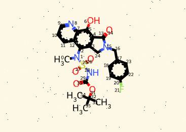 CN(c1c2c(c(O)c3ncccc13)C(=O)N(Cc1ccc(F)cc1)C2)S(=O)(=O)NC(=O)OC(C)(C)C